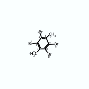 [CH2]c1c(Br)c(Br)c(C)c(Br)c1Br